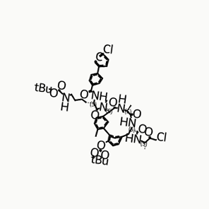 Cc1ccc2cc1-c1cc(ccc1OC(=O)OC(C)(C)C)C[C@@H](C(=O)N[C@@H](C)C(=O)CCl)NC(=O)[C@H](C)NC(=O)[C@H]2N(C)C(=O)[C@H](CCCCNC(=O)OC(C)(C)C)NC(=O)c1ccc(-c2ccc(Cl)cc2)cc1